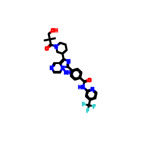 CC(C)(CO)C(=O)N1CCCC(C2=C3C=NC=C[N+]3(N)C(c3ccc(C(=O)Nc4cc(C(F)(F)F)ccn4)cc3)=N2)C1